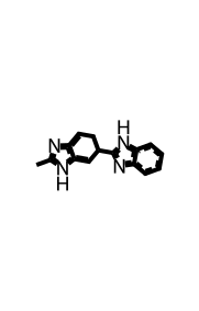 Cc1nc2c([nH]1)=CC(c1nc3ccccc3[nH]1)CC=2